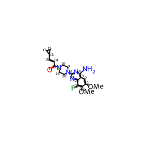 COc1cc2c(N)nc(N3CCN(C(=O)C=CC4CC4)CC3)nc2c(F)c1OC